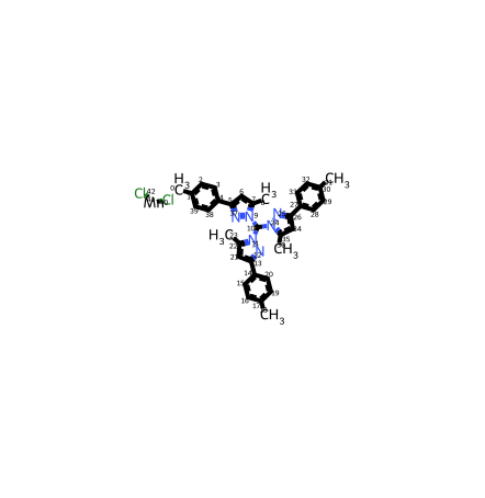 Cc1ccc(-c2cc(C)n(C(n3nc(-c4ccc(C)cc4)cc3C)n3nc(-c4ccc(C)cc4)cc3C)n2)cc1.[Cl][Mn][Cl]